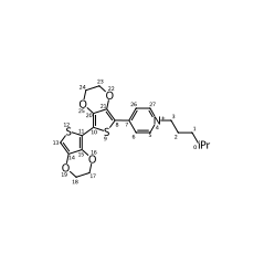 CC(C)CCC[n+]1ccc(-c2sc(-c3scc4c3OCCO4)c3c2OCCO3)cc1